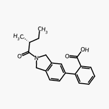 CC[C@@H](C)C(=O)N1Cc2ccc(-c3ccccc3C(=O)O)cc2C1